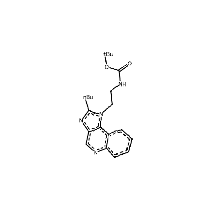 CCCCc1nc2cnc3ccccc3c2n1CCNC(=O)OC(C)(C)C